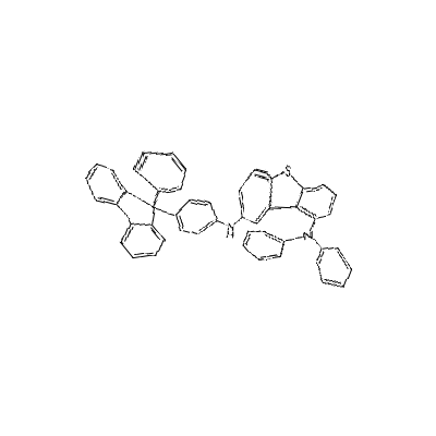 c1ccc(N(c2ccccc2)c2cccc3sc4ccc(Nc5ccc(C6(c7ccccc7)c7ccccc7-c7ccccc76)cc5)cc4c23)cc1